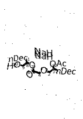 CCCCCCCCCCC(COCC(=O)OC(CO)CCCCCCCCCC)OC(C)=O.[NaH].[NaH]